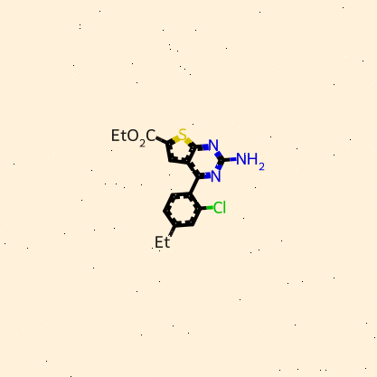 CCOC(=O)c1cc2c(-c3ccc(CC)cc3Cl)nc(N)nc2s1